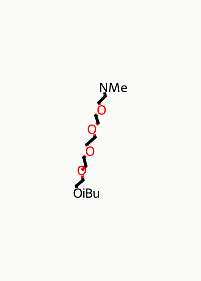 CNCCOCCOCCOCCOCCOCC(C)C